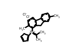 C[C](C)=[Zr+2]([C]1=CC=CC1)[c]1c(C)ccc2c1Cc1cc(C)ccc1-2.[Cl-].[Cl-]